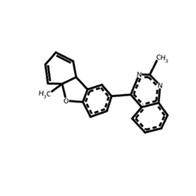 Cc1nc(-c2ccc3c(c2)C2C=CC=CC2(C)O3)c2ccccc2n1